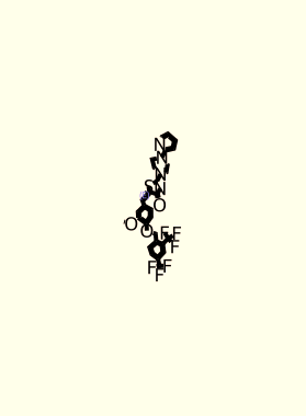 COc1cc(/C=C2/SC(N3CCN(c4ccccn4)CC3)=NC2=O)ccc1OCc1ccc(C(F)(F)F)cc1C(F)(F)F